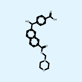 O=C(O)c1ccc(C(O)c2ccc3ccc(C(=O)OCN4CCOCC4)cc3c2)cc1